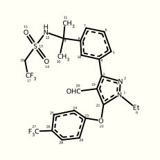 CCn1nc(-c2cccc(C(C)(C)NS(=O)(=O)CC(F)(F)F)c2)c(C=O)c1Oc1ccc(C(F)(F)F)cc1